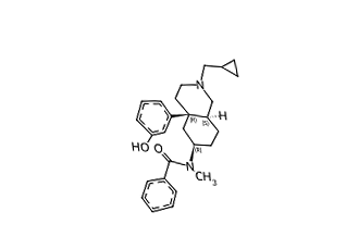 CN(C(=O)c1ccccc1)[C@@H]1CC[C@@H]2CN(CC3CC3)CC[C@@]2(c2cccc(O)c2)C1